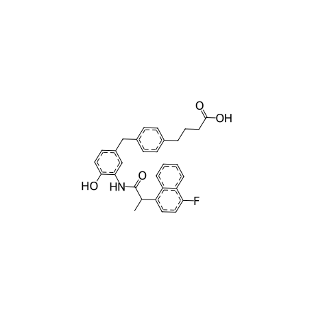 CC(C(=O)Nc1cc(Cc2ccc(CCCC(=O)O)cc2)ccc1O)c1ccc(F)c2ccccc12